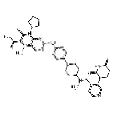 CC(=O)c1c(C)c2cnc(Nc3ccc(N4CCC(N(C)Cc5ccncc5N5CCC(=O)NC5=O)CC4)cn3)nc2n(C2CCCC2)c1=O